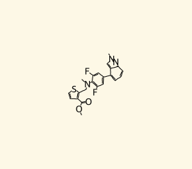 COC(=O)c1ccsc1CN(C)c1c(F)cc(-c2cccc3nn(C)cc23)cc1F